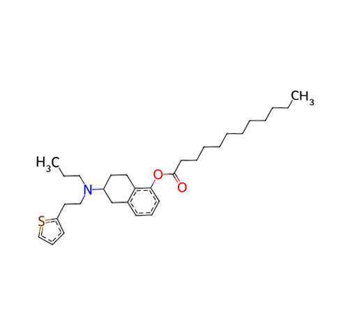 CCCCCCCCCCCC(=O)Oc1cccc2c1CCC(N(CCC)CCc1cccs1)C2